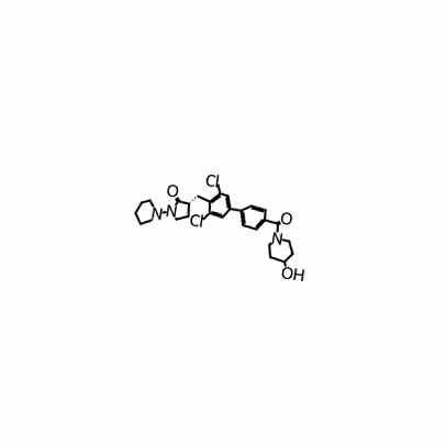 O=C(c1ccc(-c2cc(Cl)c(C[C@@H]3CCN(N4CCCCC4)C3=O)c(Cl)c2)cc1)N1CCC(O)CC1